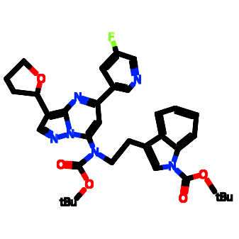 CC(C)(C)OC(=O)N(CCc1cn(C(=O)OC(C)(C)C)c2ccccc12)c1cc(-c2cncc(F)c2)nc2c(C3CCCO3)cnn12